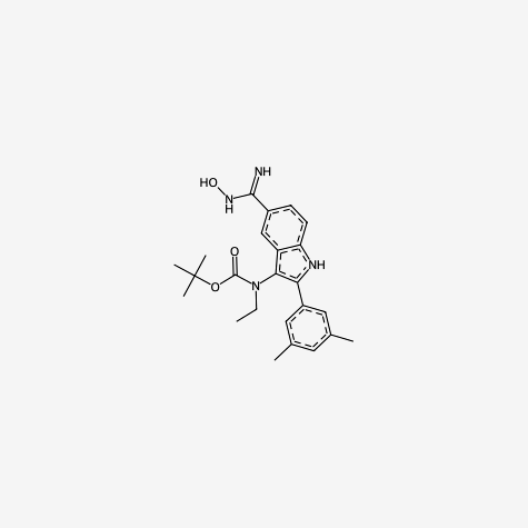 CCN(C(=O)OC(C)(C)C)c1c(-c2cc(C)cc(C)c2)[nH]c2ccc(C(=N)NO)cc12